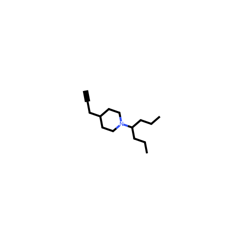 C#CCC1CCN(C(CCC)CCC)CC1